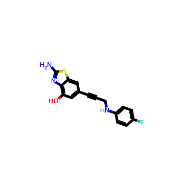 Nc1nc2c(O)cc(C#CCNc3ccc(F)cc3)cc2s1